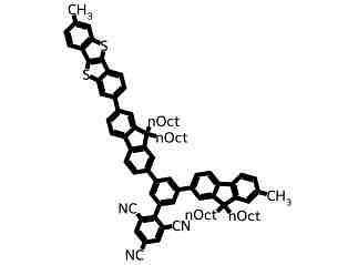 CCCCCCCCC1(CCCCCCCC)c2cc(C)ccc2-c2ccc(-c3cc(-c4ccc5c(c4)C(CCCCCCCC)(CCCCCCCC)c4cc(-c6ccc7c(c6)sc6c8ccc(C)cc8sc76)ccc4-5)cc(-c4c(C#N)cc(C#N)cc4C#N)c3)cc21